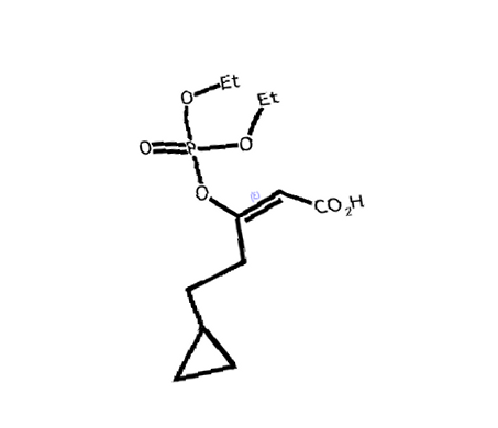 CCOP(=O)(OCC)O/C(=C/C(=O)O)CCC1CC1